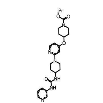 CC(C)OC(=O)N1CCC(Oc2ccnc(N3CCC(NC(=O)Nc4cccnc4)CC3)c2)CC1